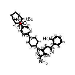 CC(C)(C)OC(=O)N1C2CCC1CC(c1cnc(N3CCC(n4nc(N)c5nnc(-c6ccccc6O)cc54)CC3)nc1)C2